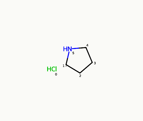 Cl.[CH]1CCCN1